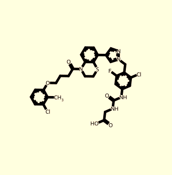 Cc1c(Cl)cccc1OCCCC(=O)N1CCSc2c(-c3cnn(Cc4c(F)cc(NC(=O)NCC(=O)O)cc4Cl)c3)cccc21